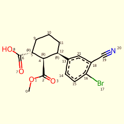 COC(=O)[C@H]1[C@H](C(=O)O)CCC[C@H]1c1ccc(Br)c(C#N)c1